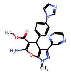 COC(=O)C1=C(N)Oc2c(c(-c3cnccn3)nn2C)C1c1ccc(-n2ccnc2)cc1